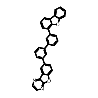 c1cc(-c2cccc(-c3cccc4c3oc3ccccc34)c2)cc(-c2ccc3oc4nccnc4c3c2)c1